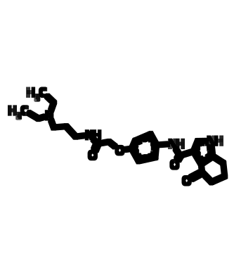 CCN(CC)CCCNC(=O)COc1ccc(NC(=O)c2c[nH]c3c2C(=O)CCC3)cc1